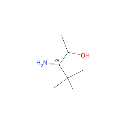 CC(O)[C@@H](N)C(C)(C)C